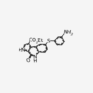 CCOC(=O)c1c[nH]c2c(=O)[nH]c3ccc(Sc4cccc(N)c4)cc3c12